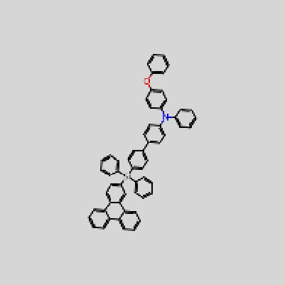 c1ccc(Oc2ccc(N(c3ccccc3)c3ccc(-c4ccc([Si](c5ccccc5)(c5ccccc5)c5ccc6c7ccccc7c7ccccc7c6c5)cc4)cc3)cc2)cc1